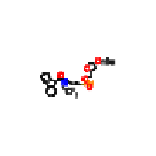 CCCCOC1COC(CO[PH](=O)CCCCN(CC(F)(F)F)C(=O)C2c3ccccc3-c3ccccc32)C1